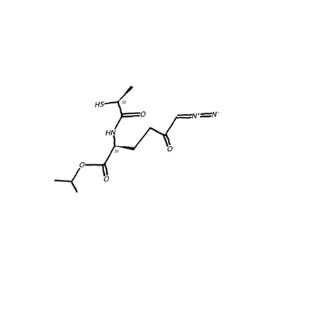 CC(C)OC(=O)[C@H](CCC(=O)C=[N+]=[N-])NC(=O)[C@H](C)S